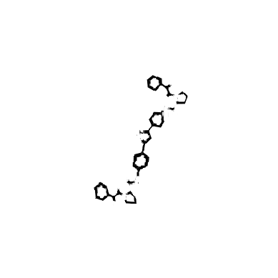 O=C(C(=O)N1CCC[C@H]1C(=O)Nc1ccc(-c2cc(-c3ccc(NC(=O)[C@@H]4CCCN4C(=O)C(=O)c4ccccc4)cc3)[nH]n2)cc1)c1ccccc1